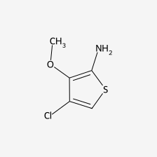 COc1c(Cl)csc1N